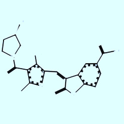 Cc1[nH]c(/C=C2\C(=O)Nc3ccc(C(=O)O)cc32)c(C)c1C(=O)N1CC[C@@H](O)C1